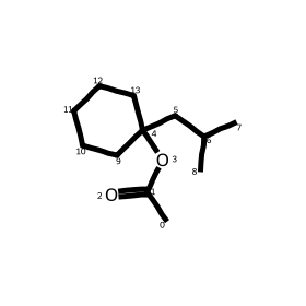 CC(=O)OC1(CC(C)C)CCCCC1